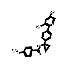 N#Cc1cnc(-c2ccc(C3(NC(=O)c4ccc(OC(F)(F)F)cc4)CC3)cc2)c(N)c1